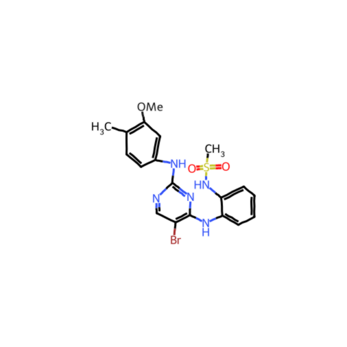 COc1cc(Nc2ncc(Br)c(Nc3ccccc3NS(C)(=O)=O)n2)ccc1C